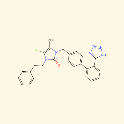 CCCCc1c(F)n(CCc2ccccc2)c(=O)n1Cc1ccc(-c2ccccc2-c2nnn[nH]2)cc1